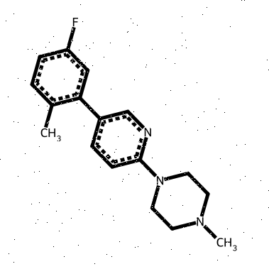 Cc1ccc(F)cc1-c1ccc(N2CCN(C)CC2)nc1